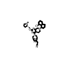 CN1CCC[C@H]1COc1nc2c(c(N3CC4C/C(=C\C#N)C(C3)N4)n1)CCN(c1cccc3cccc(Cl)c13)C2